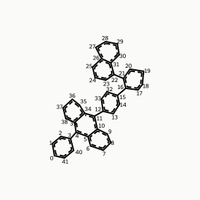 c1ccc(-c2c3ccccc3c(-c3ccc(-c4ccccc4-c4cccc5ccccc45)cc3)c3ccccc23)cc1